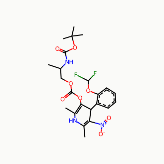 CC1=C(OC(=O)OCC(C)NC(=O)OC(C)(C)C)C(c2ccccc2OC(F)F)C([N+](=O)[O-])=C(C)N1